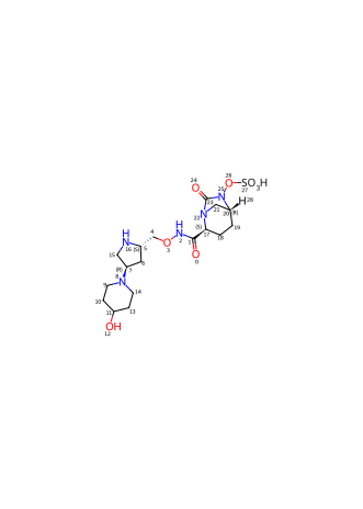 O=C(NOC[C@@H]1C[C@@H](N2CCC(O)CC2)CN1)[C@@H]1CC[C@@H]2CN1C(=O)N2OS(=O)(=O)O